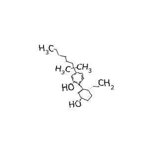 C=CC[C@@H]1CC[C@@H](O)C[C@H]1c1ccc(C(C)(C)CCCCCC)cc1O